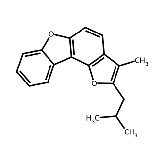 Cc1c(CC(C)C)oc2c1ccc1oc3ccccc3c12